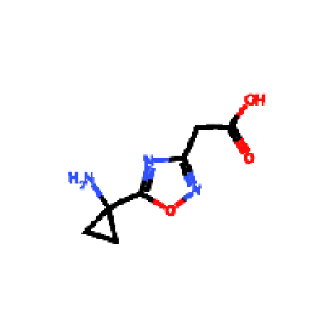 NC1(c2nc(CC(=O)O)no2)CC1